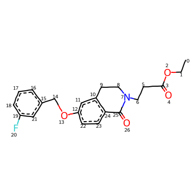 CCOC(=O)CCN1CCc2cc(OCc3cccc(F)c3)ccc2C1=O